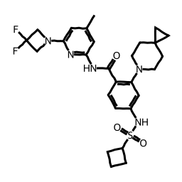 Cc1cc(NC(=O)c2ccc(NS(=O)(=O)C3CCC3)cc2N2CCC3(CC2)CC3)nc(N2CC(F)(F)C2)c1